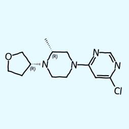 C[C@@H]1CN(c2cc(Cl)ncn2)CCN1[C@@H]1CCOC1